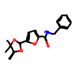 C=C1OB(c2ccc(C(=O)NCc3ccccc3)o2)OC1(C)C